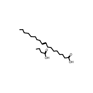 CCCC(=O)O.CCCCCCCCC=CCCCCCCCC(=O)O